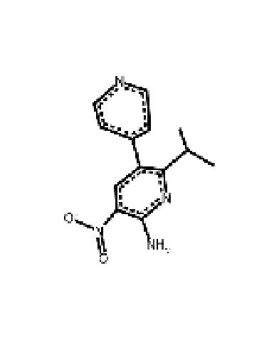 CC(C)c1nc(N)c([N+](=O)[O-])cc1-c1ccncc1